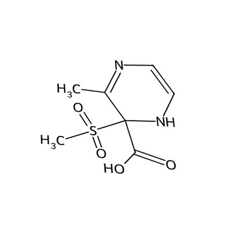 CC1=NC=CNC1(C(=O)O)S(C)(=O)=O